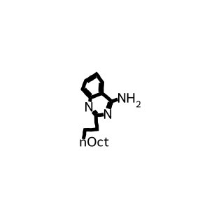 CCCCCCCCCCc1nc(N)c2ccccc2n1